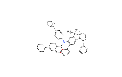 CC1(C)c2cc(N(c3ccc(C4CC5CCC4C5)cc3)c3cccc4cc(C5CCCCC5)ccc34)c(-c3ccccc3)cc2-c2c(-c3ccccc3)cccc21